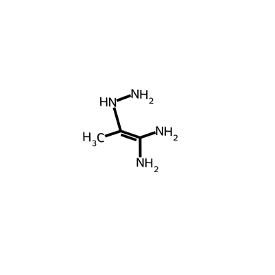 CC(NN)=C(N)N